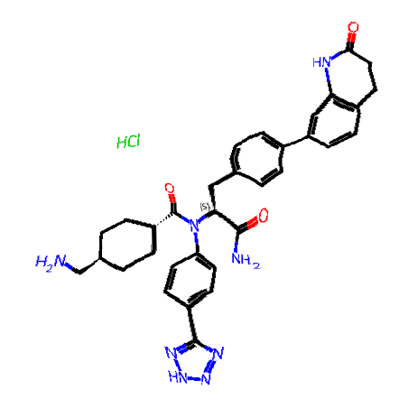 Cl.NC[C@H]1CC[C@H](C(=O)N(c2ccc(-c3nn[nH]n3)cc2)[C@@H](Cc2ccc(-c3ccc4c(c3)NC(=O)CC4)cc2)C(N)=O)CC1